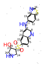 O=S(=O)(c1ccc2ncc(Nc3ccc4scnc4c3)cc2c1)C1CNCC1O